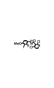 COc1ccc(CNC(=O)c2c(Cl)ccnc2Cl)c(F)c1F